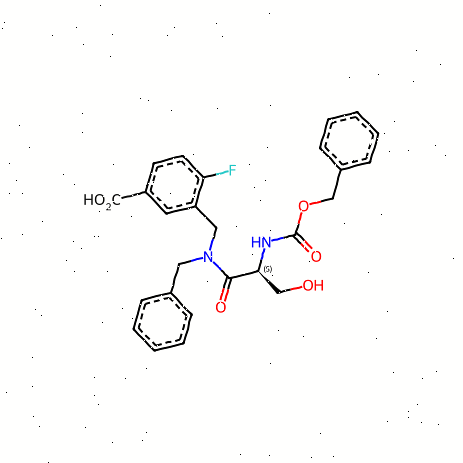 O=C(N[C@@H](CO)C(=O)N(Cc1ccccc1)Cc1cc(C(=O)O)ccc1F)OCc1ccccc1